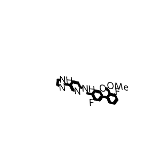 COC(=O)c1c(F)cccc1-c1ccc(CNc2ccc(C3=NCCN3)cn2)c(F)c1